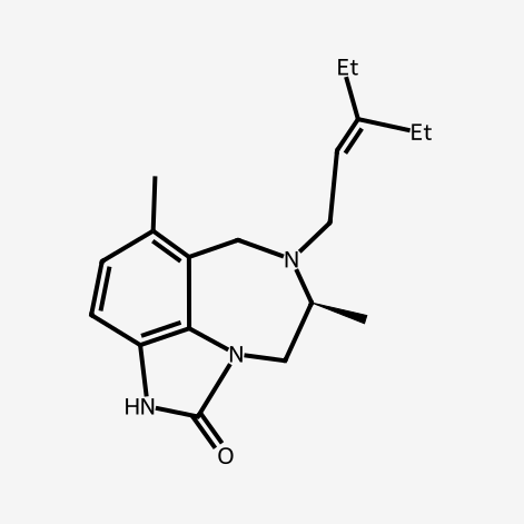 CCC(=CCN1Cc2c(C)ccc3[nH]c(=O)n(c23)C[C@@H]1C)CC